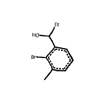 CCC(O)c1cccc(C)c1Br